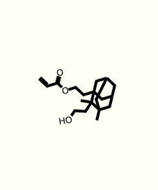 C=CC(=O)OCCC12CC3CC(CC(C)(C3)C1(C)CCO)C2